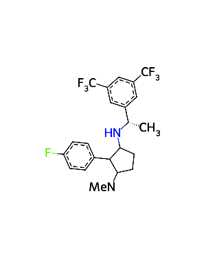 CNC1CCC(N[C@@H](C)c2cc(C(F)(F)F)cc(C(F)(F)F)c2)C1c1ccc(F)cc1